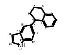 c1ccc2c(c1)CCCC2c1ccc2[nH]ccc2c1